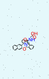 CC(c1ccc2ccccc2c1)N1C(=O)c2ccccc2C1C(=O)NCC(=O)O